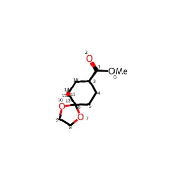 COC(=O)C1CCC2(OCCO2)C2(CCCC2)C1